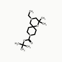 CCN1CC(C)(C)OC2(CCN(C(=O)OC(C)(C)C)CC2)C1